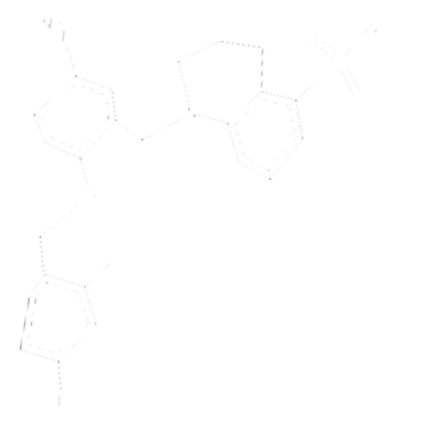 O=S(=O)([O-])c1cccc2c1CCCN2Cc1cc(Cl)ccc1OCc1ccc(F)cc1F.[Na+]